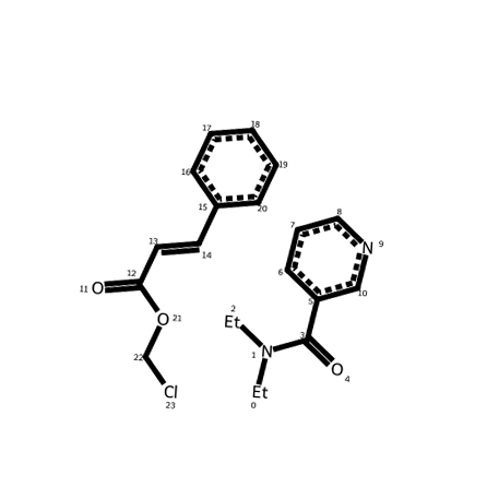 CCN(CC)C(=O)c1cccnc1.O=C(C=Cc1ccccc1)OCCl